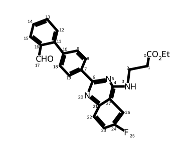 CCOC(=O)CCNc1nc(-c2ccc(-c3ccccc3C=O)cc2)nc2ccc(F)cc12